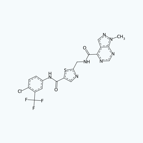 Cn1ncc2c(C(=O)NCc3ncc(C(=O)Nc4ccc(Cl)c(C(F)(F)F)c4)s3)ncnc21